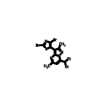 CCC(CC)c1cc(C)nc2c(-c3sc(Br)nc3Br)c(C)nn12